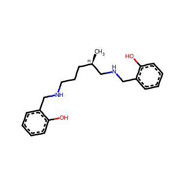 C[C@H](CCCNCc1ccccc1O)CNCc1ccccc1O